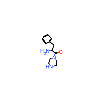 NC(Cc1ccccc1)C(=O)N1CCNCC1